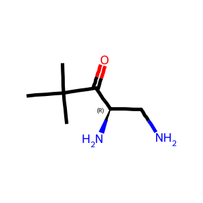 CC(C)(C)C(=O)[C@H](N)CN